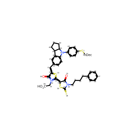 CCCCCCCCCCSc1ccc(N2c3ccc(/C=c4\s/c(=C5/SC(=S)N(CCCCc6ccccc6)C5=O)n(CC(=O)O)c4=O)cc3C3CCCC32)cc1